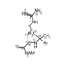 CNC(=O)[C@H](CCCNC(=N)N)NC(C)(C)C(C)=O